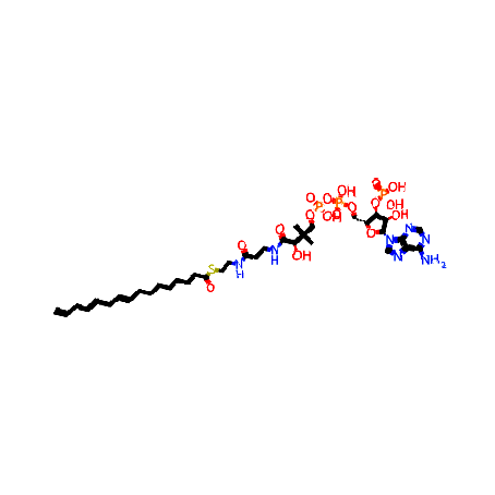 C=CCC=CCC=CCCCCCCCC(=O)SCCNC(=O)CCNC(=O)[C@H](O)C(C)(C)COP(=O)(O)OP(=O)(O)OC[C@H]1O[C@@H](n2cnc3c(N)ncnc32)[C@H](O)[C@@H]1OP(=O)(O)O